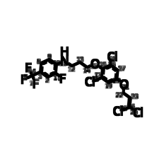 Fc1cc(C(F)(F)F)ccc1NCCCOc1c(Cl)cc(OCC=C(Cl)Cl)cc1Cl